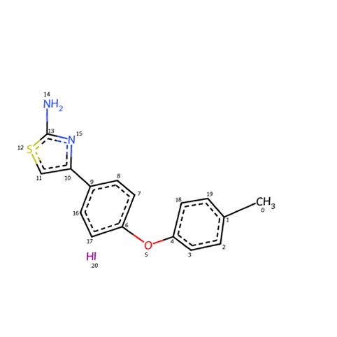 Cc1ccc(Oc2ccc(-c3csc(N)n3)cc2)cc1.I